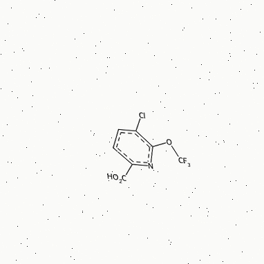 O=C(O)c1ccc(Cl)c(OC(F)(F)F)n1